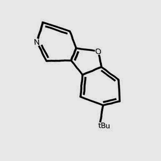 CC(C)(C)c1ccc2oc3ccncc3c2c1